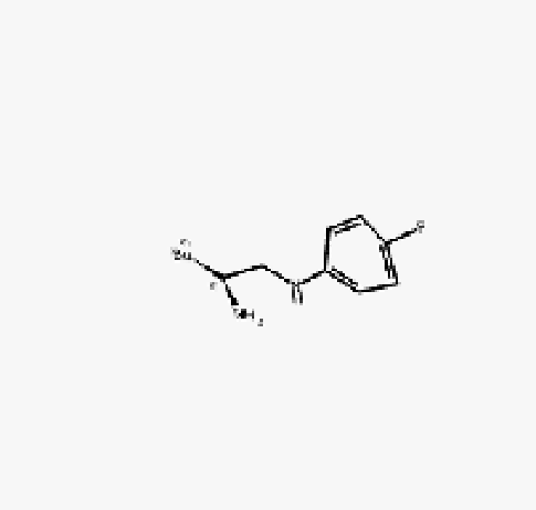 CC[C@H](C)[C@H](N)CNc1ccc(F)cc1